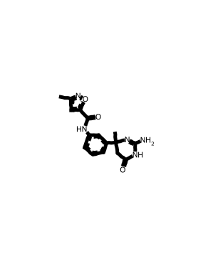 Cc1cc(C(=O)Nc2cccc(C3(C)CC(=O)NC(N)=N3)c2)on1